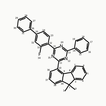 CC1(C)c2ccccc2-c2c(-c3nc(-c4ccccc4)nc(-c4ccc(-c5ccccc5)cc4F)n3)cccc21